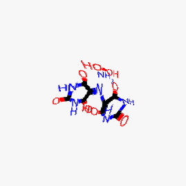 N.O=C1NC(=O)C(=Nc2c(O)[nH]c(=O)[nH]c2=O)C(=O)N1.OO